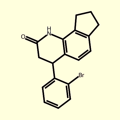 O=C1CC(c2ccccc2Br)c2ccc3c(c2N1)CCC3